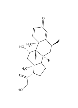 C[C@]12C[C@H](O)[C@@]3(F)[C@@H](C[C@H](F)C4=CC(=O)C=C[C@@]43C)C1CC[C@@H]2C(=O)CO